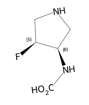 O=C(O)N[C@@H]1CNC[C@@H]1F